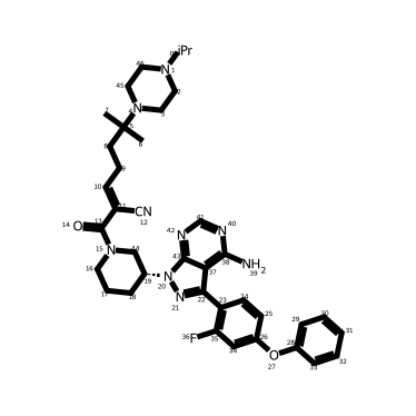 CC(C)N1CCN(C(C)(C)CC/C=C(\C#N)C(=O)N2CCC[C@@H](n3nc(-c4ccc(Oc5ccccc5)cc4F)c4c(N)ncnc43)C2)CC1